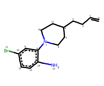 C=CCCC1CCN(c2cc(Br)ccc2N)CC1